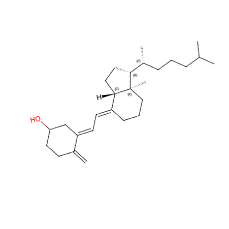 C=C1CCC(O)CC1=CC=C1CCC[C@]2(C)[C@@H]([C@H](C)CCCC(C)C)CC[C@@H]12